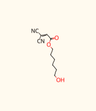 N#CC(C#N)=CC(=O)OCCCCCCO